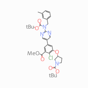 COC(=O)c1cc(-c2cnc(N(Cc3cccc(C)c3)C(=O)OC(C)(C)C)nc2)cc(OC2CCN(C(=O)OC(C)(C)C)C2)c1Cl